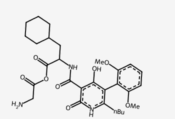 CCCCc1[nH]c(=O)c(C(=O)NC(CC2CCCCC2)C(=O)OC(=O)CN)c(O)c1-c1c(OC)cccc1OC